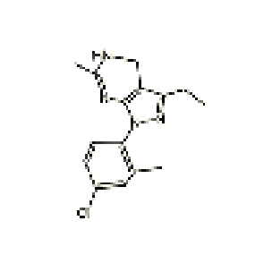 CCc1nn(-c2ccc(Cl)cc2C)c2c1CNC(C)=N2